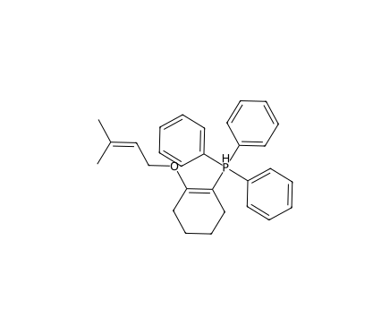 CC(C)=CCOC1=C([PH](c2ccccc2)(c2ccccc2)c2ccccc2)CCCC1